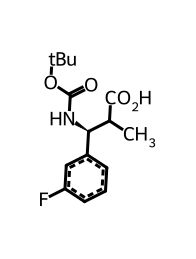 CC(C(=O)O)[C@H](NC(=O)OC(C)(C)C)c1cccc(F)c1